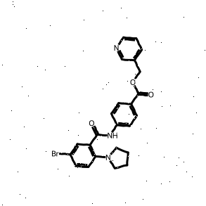 O=C(OCc1cccnc1)c1ccc(NC(=O)c2cc(Br)ccc2N2CCCC2)cc1